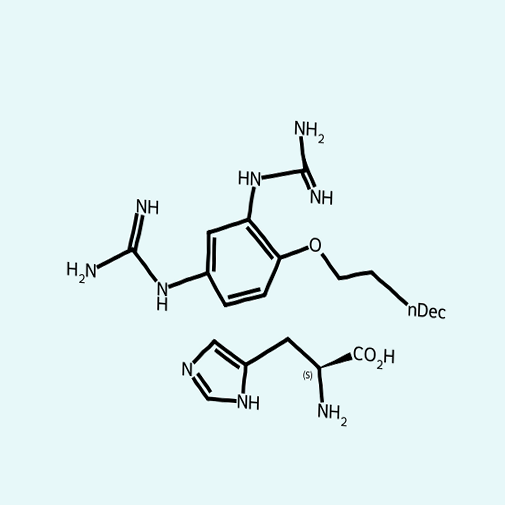 CCCCCCCCCCCCOc1ccc(NC(=N)N)cc1NC(=N)N.N[C@@H](Cc1cnc[nH]1)C(=O)O